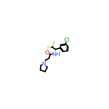 O=C(CCN1CCCC1)N[C@@H](c1cccc(Cl)c1)C(F)F